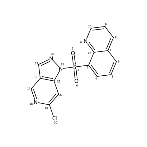 O=S(=O)(c1cccc2cccnc12)n1ncc2cnc(Cl)cc21